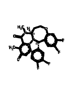 Cc1c2n(ccc1=O)N1[C@@H](c3ccc(F)c(F)c3)c3cc(F)c(F)cc3OCC[C@@H]1N(C)C2=O